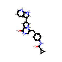 O=C(Nc1ccc(Cc2c[nH]c(=O)c3cc(-c4c[nH]c5ncccc45)cn23)cc1)C1CC1